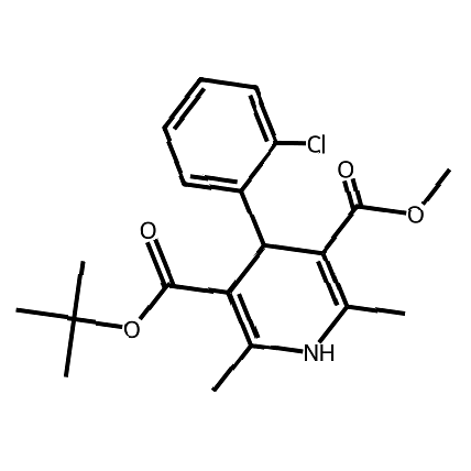 COC(=O)C1=C(C)NC(C)=C(C(=O)OC(C)(C)C)C1c1ccccc1Cl